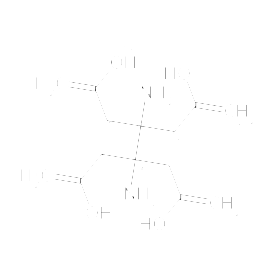 C=C(O)CC(N)(CC(=C)O)C(N)(CC(=C)O)CC(=C)O